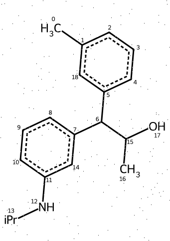 Cc1cccc(C(c2cccc(NC(C)C)c2)C(C)O)c1